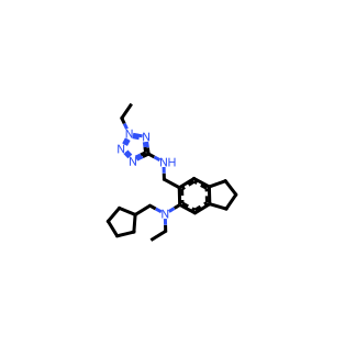 CCN(CC1CCCC1)c1cc2c(cc1CNc1nnn(CC)n1)CCC2